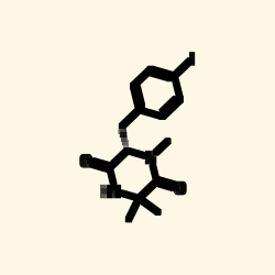 CN1C(=O)C(C)(C)NC(=O)[C@@H]1Cc1ccc(I)cc1